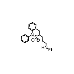 CCNCCCC1Cc2ccccc2N(c2ccccc2)S1(=O)=O